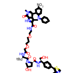 Cc1ncsc1-c1ccc([C@H](CO)NC(=O)[C@@H]2C[C@@H](O)CN2C(=O)[C@@H](NC(=O)COCCCOCCNC(=O)c2[nH]c3c(=O)n(C)cc4c3c2CN(c2ccccc2)c2ccc([N+](=O)[O-])cc2-4)C(C)(C)C)cc1